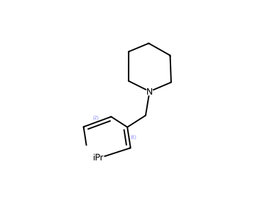 C/C=C\C(=C/C(C)C)CN1CCCCC1